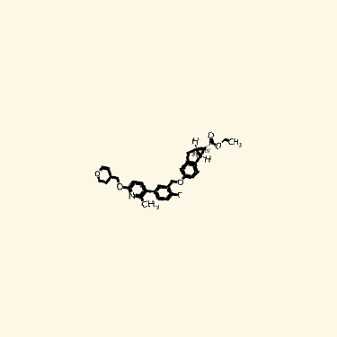 CCOC(=O)[C@H]1[C@@H]2Cc3cc(OCc4cc(-c5ccc(OCC6CCOCC6)nc5C)ccc4F)ccc3[C@@H]21